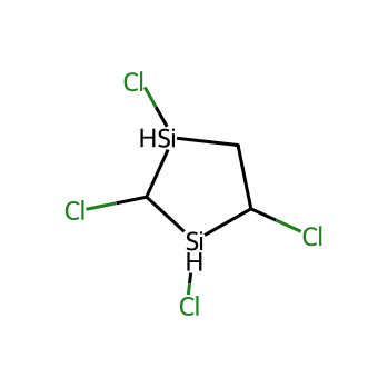 ClC1C[SiH](Cl)C(Cl)[SiH]1Cl